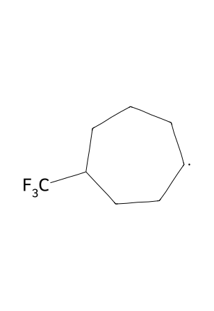 FC(F)(F)C1CC[CH]CCC1